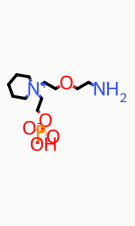 NCCOCC[N+]1(CCOP(=O)([O-])O)CCCCC1